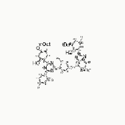 CCCCCCCCOc1ccc(-c2nc(-c3ccc(C)cc3C)nc(-c3ccc(C)cc3C)n2)c(O)c1.Cc1cc(-n2nc3ccc(Cl)cc3n2)c(O)c(C(C)(C)C)c1